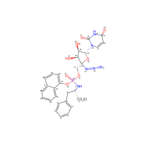 CCOC(=O)[C@H](Cc1ccccc1)NP(=O)(OC[C@@]1(N=[N+]=[N-])O[C@@H](n2ccc(=O)[nH]c2=O)[C@H](O)[C@@H]1O)Oc1cccc2ccccc12